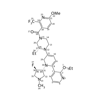 CCOc1ncccc1C1=CC=C(N2CCN(C(=O)c3ccc(OC)nc3C(F)(F)F)C[C@H]2CC)CN1[C@@H]1CN(C)C[C@H]1F